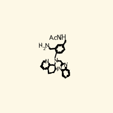 CC(=O)NCc1ccc(CN(Cc2nc3ccccc3[nH]2)C2CCCc3cccnc32)c(CN)c1